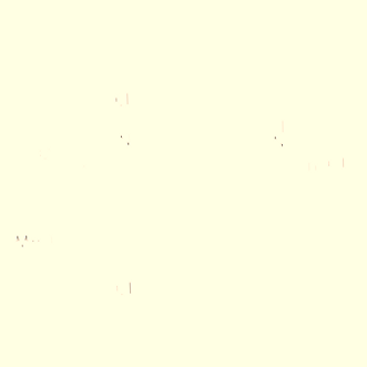 CCCCCCCCNc1ccc2c(O)c(OC)c(=O)n(C)c2c1